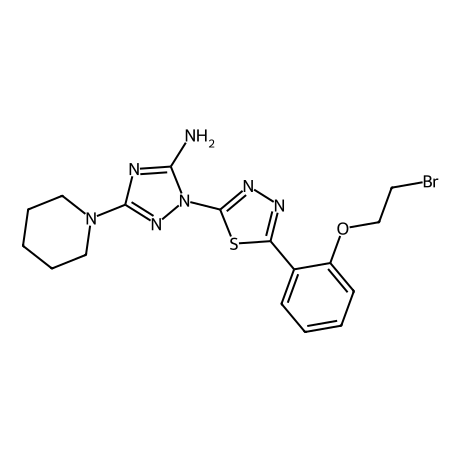 Nc1nc(N2CCCCC2)nn1-c1nnc(-c2ccccc2OCCBr)s1